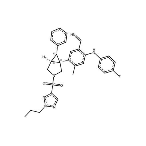 CCCn1ncc(S(=O)(=O)N2C[C@H]3[C@H](c4ccccc4)[C@@]3(c3cc(C=N)c(Nc4ccc(F)cc4)cc3C)C2)n1